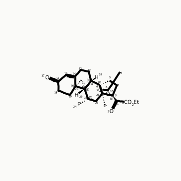 CCOC(=O)C(=O)[C@@]12CC[C@@]3(OC(C)O1)[C@@H]1CCC4=CC(=O)CC[C@]4(C)[C@H]1[C@@H](F)C[C@]23C